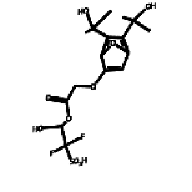 CC(C)(O)c1c(C(C)(C)O)c2oc1cc2OCC(=O)OC(O)C(F)(F)S(=O)(=O)O